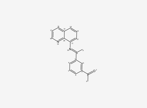 CC(=O)c1cccc(/C(C)=N/c2cccc3cccnc23)c1